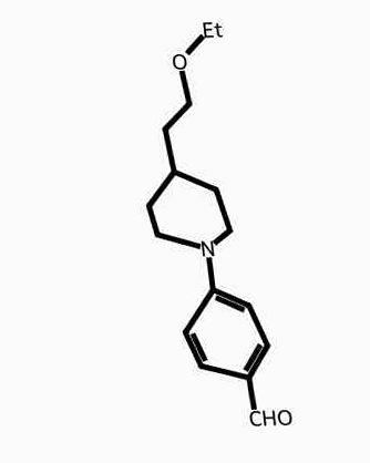 CCOCCC1CCN(c2ccc(C=O)cc2)CC1